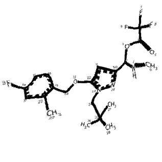 CNC(OC(=O)C(F)(F)F)c1cc(OCc2ccc(F)cc2C)n(CC(C)(C)C)n1